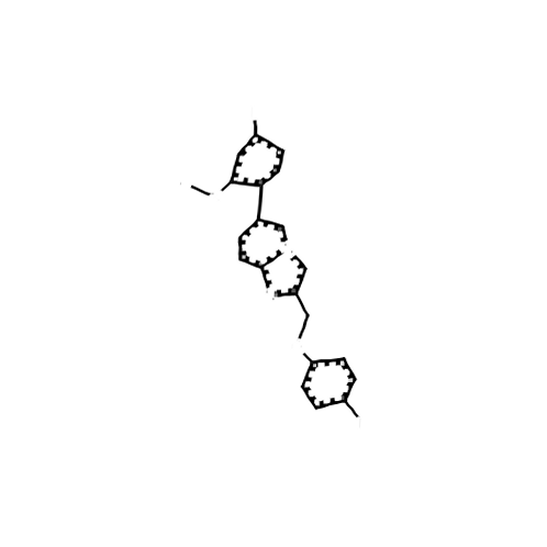 CSc1cc(F)ccc1-c1ccc2nc(COc3ccc(F)cc3)cn2c1